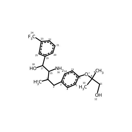 CC(Cc1ccc(OC(C)(C)CO)cc1)C(N)C(O)c1cccc(C(F)(F)F)c1